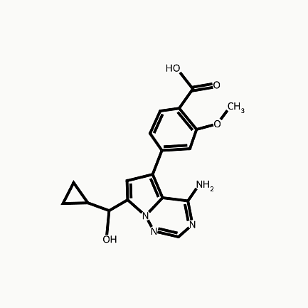 COc1cc(-c2cc(C(O)C3CC3)n3ncnc(N)c23)ccc1C(=O)O